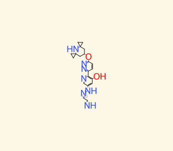 N=C/C=N\Nc1cnc(-c2ccc(OC3CC4(CC4)NC4(CC4)C3)nn2)c(O)c1